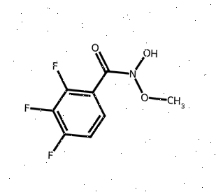 CON(O)C(=O)c1ccc(F)c(F)c1F